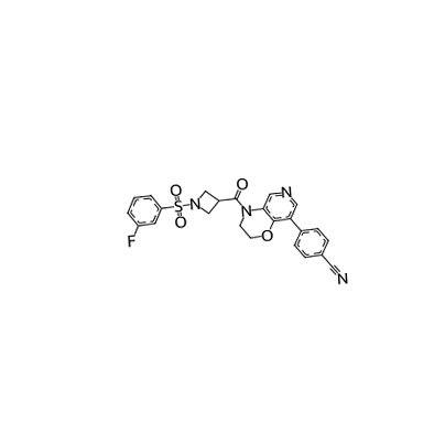 N#Cc1ccc(-c2cncc3c2OCCN3C(=O)C2CN(S(=O)(=O)c3cccc(F)c3)C2)cc1